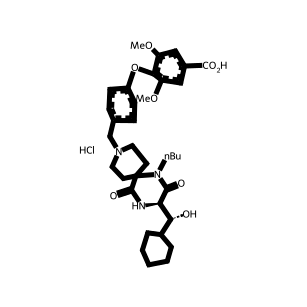 CCCCN1C(=O)[C@@H]([C@H](O)C2CCCCC2)NC(=O)C12CCN(Cc1ccc(Oc3c(OC)cc(C(=O)O)cc3OC)cc1)CC2.Cl